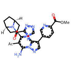 COC(=O)c1ccc(-c2cnn3c(N)c(C(C)=O)c([C@H]4C[C@H]5CC[C@@H](C4)N5C(=O)c4nnc[nH]4)nc23)cn1